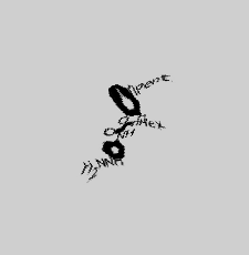 CCCCCCC(Oc1ccc(CCCCC)cc1Cl)C(=O)Nc1ccc(NN)cc1